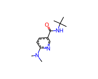 CN(C)c1ccc(C(=O)NC(C)(C)C)cn1